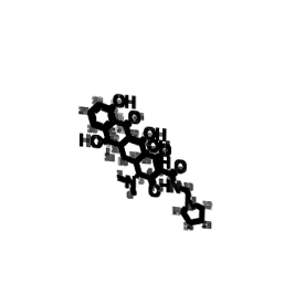 CN(C)[C@H]1C(=O)C(C(=O)NCN2CCCC2)=C(O)[C@]2(O)C(O)=C3C(=O)c4c(O)cccc4[C@](C)(O)C3CC12